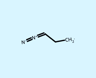 [CH2]CC=[N+]=[N-]